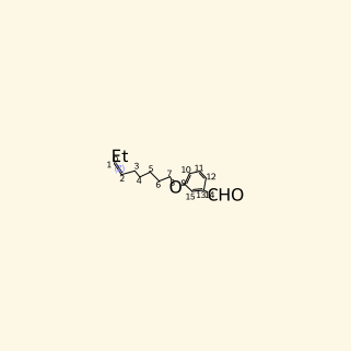 CC/C=C\CCCCCOc1cccc(C=O)c1